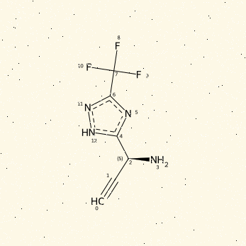 C#C[C@H](N)c1nc(C(F)(F)F)n[nH]1